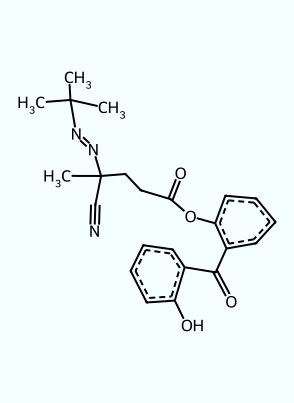 CC(C)(C)N=NC(C)(C#N)CCC(=O)Oc1ccccc1C(=O)c1ccccc1O